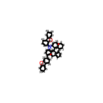 c1ccc(-c2cccc3cccc(-c4ccccc4N(c4ccc(-c5ccc6c(c5)oc5ccccc56)cc4)c4cccc5c4oc4ccccc45)c23)cc1